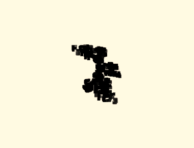 CCCCc1c(-c2cc(C(F)(F)C(F)(F)C(F)(F)C(F)(F)F)c(-c3cccs3)s2)sc(-c2cc(C(F)(F)C(F)(F)C(F)(F)C(F)(F)F)c(-c3cccs3)s2)c1CCCC